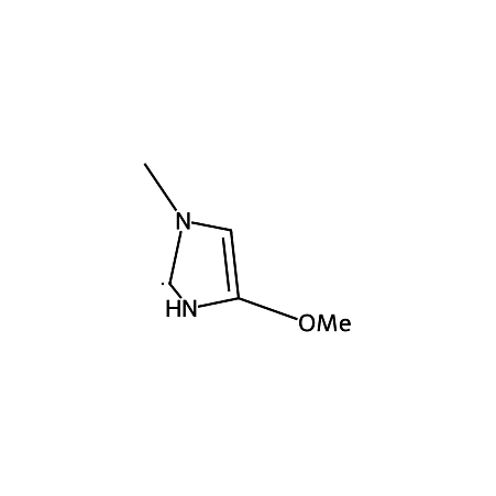 COC1=CN(C)[CH]N1